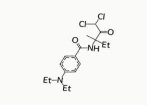 CCN(CC)c1ccc(C(=O)NC(C)(CC)C(=O)C(Cl)Cl)cc1